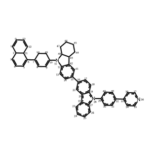 C1=CC2C=CC=C(C3=CC=C(N4c5ccc(-c6ccc7c(c6)c6ccccc6n7-c6ccc(-c7ccncc7)cc6)cc5C5CCCCC54)CC3)C2C=C1